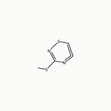 CSC1=NSC=C=N1